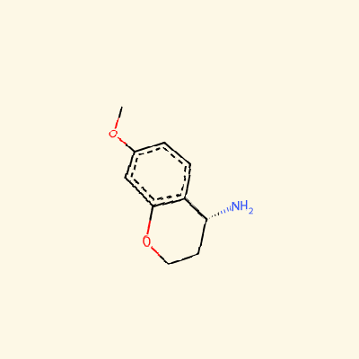 COc1ccc2c(c1)OCC[C@H]2N